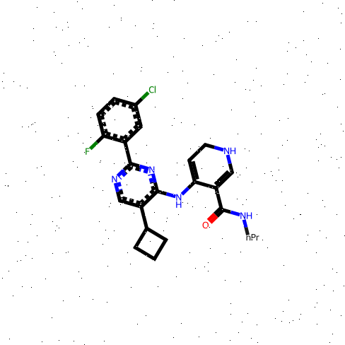 CCCNC(=O)C1=CNCC=C1Nc1nc(-c2cc(Cl)ccc2F)ncc1C1CCC1